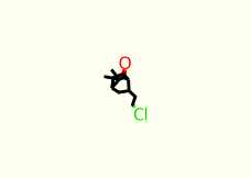 CC1(C)C(=O)C2CCC1CC2CCCl